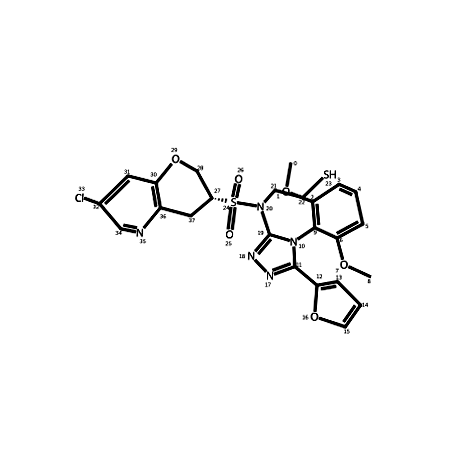 COc1cccc(OC)c1-n1c(-c2ccco2)nnc1N(CCS)S(=O)(=O)[C@H]1COc2cc(Cl)cnc2C1